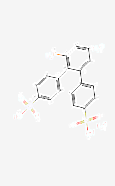 O.O.O=S(=O)(O)c1ccc(-c2cccc(P)c2-c2ccc(S(=O)(=O)O)cc2)cc1